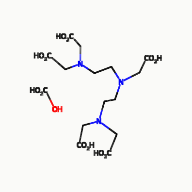 O=C(O)CN(CCN(CC(=O)O)CC(=O)O)CCN(CC(=O)O)CC(=O)O.O=C(O)O